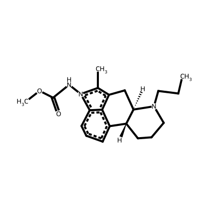 CCCN1CCC[C@@H]2c3cccc4c3c(c(C)n4NC(=O)OC)C[C@H]21